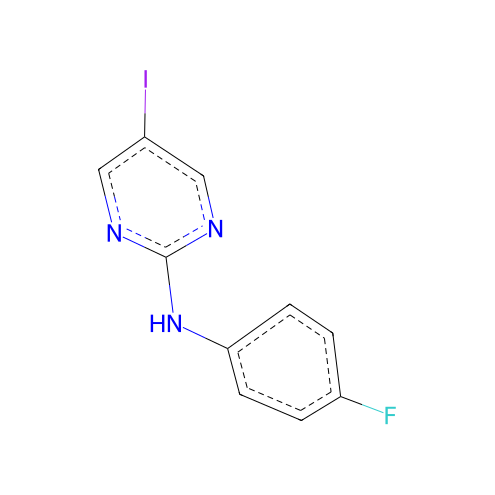 Fc1ccc(Nc2ncc(I)cn2)cc1